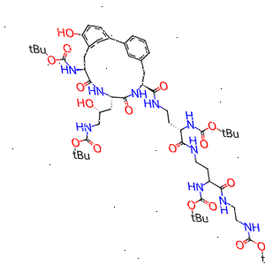 CC(C)(C)OC(=O)NCCNC(=O)C(CCNC(=O)[C@H](CCNC(=O)[C@@H]1Cc2cccc(c2)-c2ccc(O)c(c2)C[C@H](NC(=O)OC(C)(C)C)C(=O)N[C@@H](C[C@@H](O)CNC(=O)OC(C)(C)C)C(=O)N1)NC(=O)OC(C)(C)C)NC(=O)OC(C)(C)C